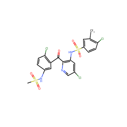 CS(=O)(=O)Nc1ccc(Cl)c(C(=O)c2ncc(Cl)cc2NS(=O)(=O)c2ccc(Cl)c(C(F)(F)F)c2)c1